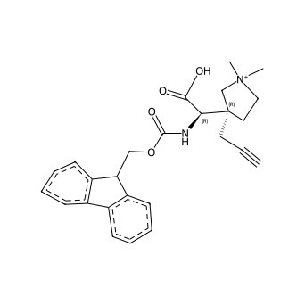 C#CC[C@@]1([C@@H](NC(=O)OCC2c3ccccc3-c3ccccc32)C(=O)O)CC[N+](C)(C)C1